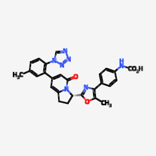 Cc1ccc(-n2cnnn2)c(-c2cc3n(c(=O)c2)[C@H](c2nc(-c4ccc(NC(=O)O)cc4)c(C)o2)CC3)c1